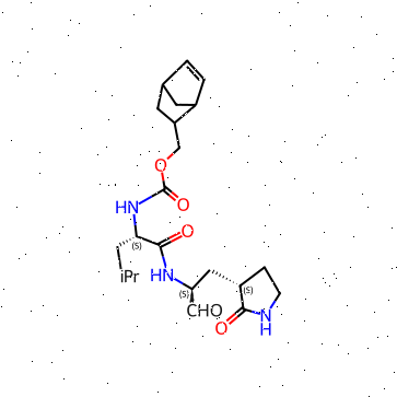 CC(C)C[C@H](NC(=O)OCC1CC2C=CC1C2)C(=O)N[C@H](C=O)C[C@@H]1CCNC1=O